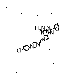 Nc1nc2c(ccn2CCN2CCN(c3ccc(Cl)cc3)CC2)c2nc(-c3ccco3)nn12